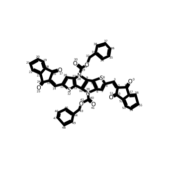 O=C1C(=Cc2cc3c(s2)c2c(c4sc(C=C5C(=O)c6ccccc6C5=O)cc4n2C(=O)OCc2ccccc2)n3C(=O)OCc2ccccc2)C(=O)c2ccccc21